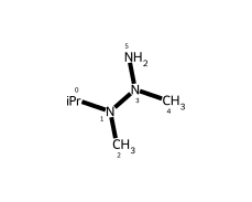 CC(C)N(C)N(C)N